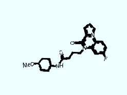 COC1CCC(NC(=O)CCCn2c(=O)c3cccn3c3ccc(F)cc32)CC1